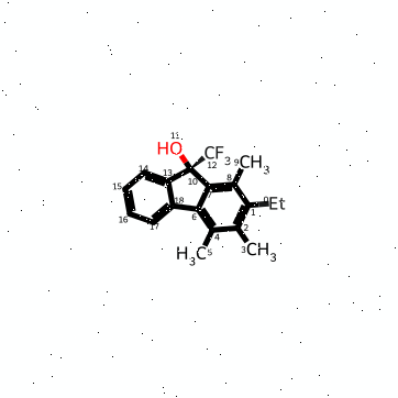 CCc1c(C)c(C)c2c(c1C)[C@](O)(C(F)(F)F)c1ccccc1-2